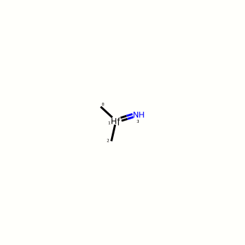 [CH3][Hf]([CH3])=[NH]